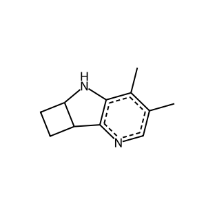 Cc1cnc2c(c1C)NC1CCC21